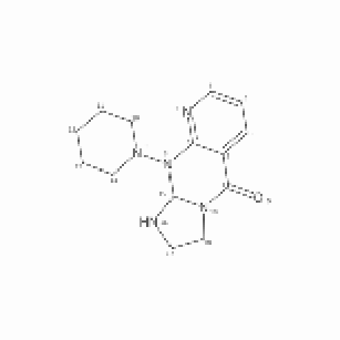 O=C1c2cccnc2N(N2CCCCC2)C2NCCN12